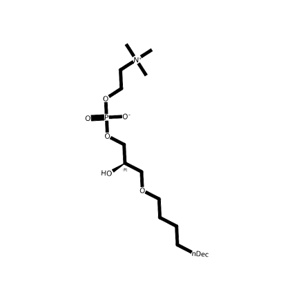 CCCCCCCCCCCCCCOC[C@@H](O)COP(=O)([O-])OCC[N+](C)(C)C